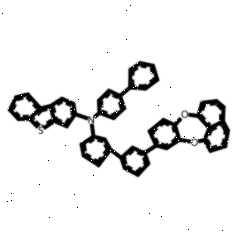 c1ccc(-c2ccc(N(c3cccc(-c4cccc(-c5ccc6c(c5)Oc5cccc7cccc(c57)O6)c4)c3)c3ccc4c(c3)sc3ccccc34)cc2)cc1